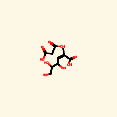 CC(=CC(O)C(O)CO)C(=O)O.O=C(O)CC(=O)O